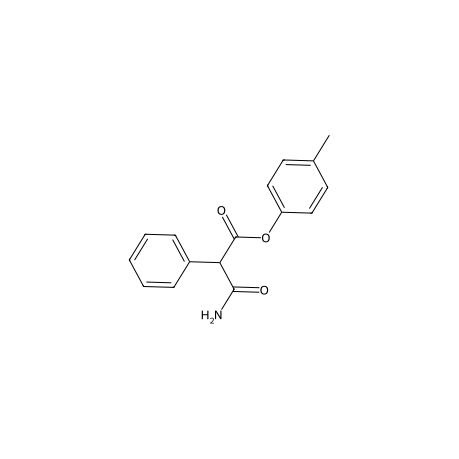 Cc1ccc(OC(=O)C(C(N)=O)c2ccccc2)cc1